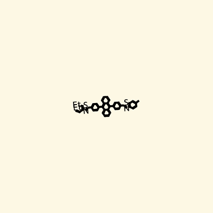 CC/C=C\c1nc(-c2ccc(-c3c4ccccc4c(-c4ccc(-c5nc6ccc(C)cc6s5)cc4)c4ccccc34)cc2)sc1CC